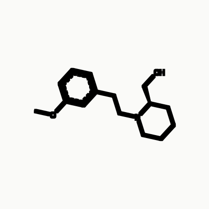 COc1cccc(CCN2CCCC[C@@H]2CO)c1